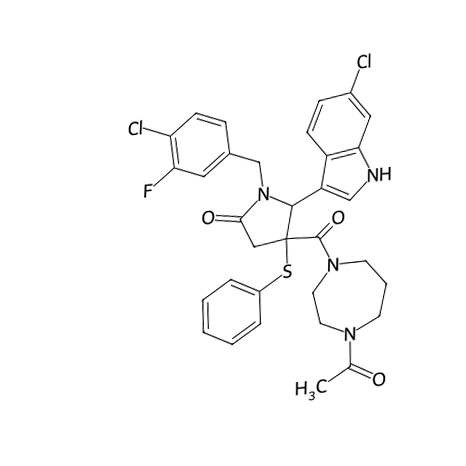 CC(=O)N1CCCN(C(=O)C2(Sc3ccccc3)CC(=O)N(Cc3ccc(Cl)c(F)c3)C2c2c[nH]c3cc(Cl)ccc23)CC1